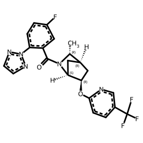 C[C@@H]1[C@H]2C[C@@H](Oc3ccc(C(F)(F)F)cn3)[C@H](C2)N1C(=O)c1cc(F)ccc1-n1nccn1